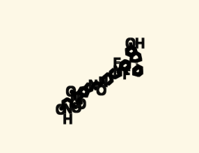 O=C1CC[C@@H](N2C(=O)c3cc4c(cc3C2=O)CN(CC(=O)N2CCC3(CC2)CCN(c2c(F)cc([C@@H]5c6ccc(O)cc6CC[C@@H]5c5ccccc5)cc2F)CC3)C4)C(=O)N1